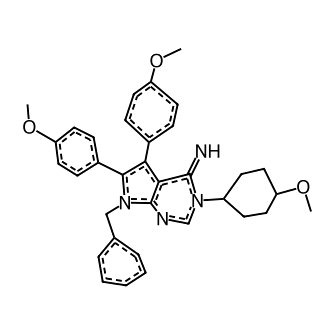 COc1ccc(-c2c(-c3ccc(OC)cc3)n(Cc3ccccc3)c3ncn(C4CCC(OC)CC4)c(=N)c23)cc1